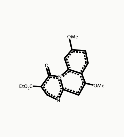 CCOC(=O)c1cnc2cc(OC)c3ccc(OC)cc3n2c1=O